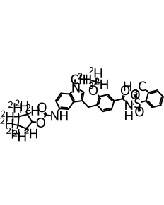 [2H]C([2H])([2H])Oc1cc(C(=O)NS(=O)(=O)c2ccccc2C)ccc1Cc1cn(C)c2ccc(NC(=O)OC3C([2H])([2H])C([2H])([2H])C([2H])([2H])C3([2H])[2H])cc12